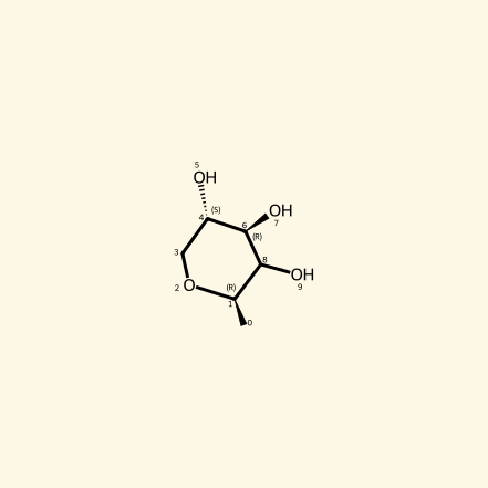 C[C@H]1OC[C@H](O)[C@@H](O)C1O